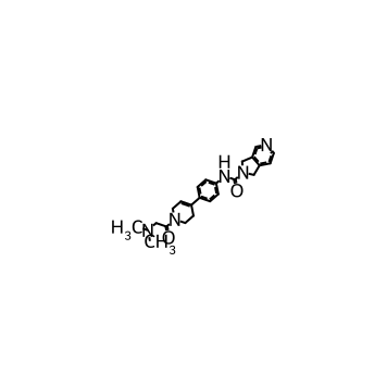 CN(C)CC(=O)N1CC=C(c2ccc(NC(=O)N3Cc4ccncc4C3)cc2)CC1